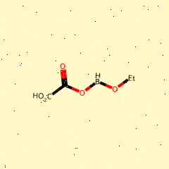 CCOBOC(=O)C(=O)O